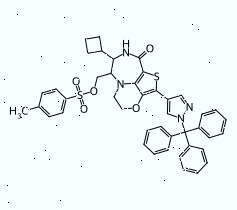 Cc1ccc(S(=O)(=O)OCC2C(C3CCC3)NC(=O)c3sc(-c4cnn(C(c5ccccc5)(c5ccccc5)c5ccccc5)c4)c4c3N2CCO4)cc1